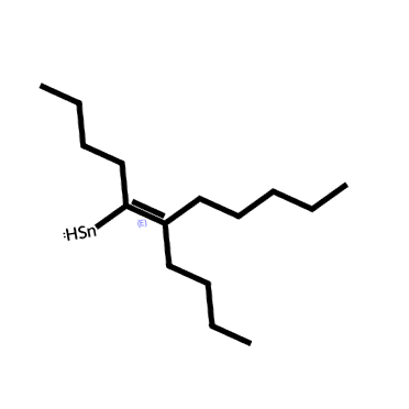 CCCCC/C(CCCC)=[C](/[SnH])CCCC